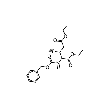 CCOC(=O)CC([18F])C(NC(=O)OCc1ccccc1)C(=O)OCC